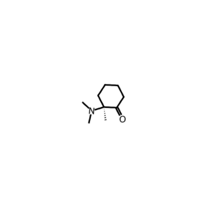 CN(C)[C@@]1(C)CCCCC1=O